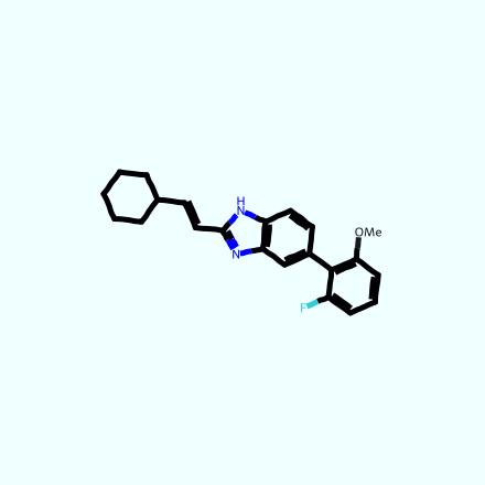 COc1cccc(F)c1-c1ccc2[nH]c(/C=C/C3CCCCC3)nc2c1